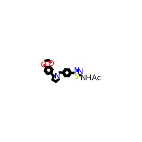 CC(=O)Nc1nnc(-c2ccc(CN3CCCC3c3ccc4c(c3)OCCO4)cc2)s1